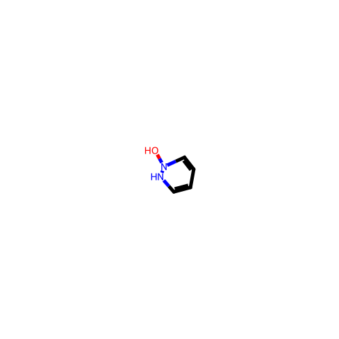 ON1C=CC=CN1